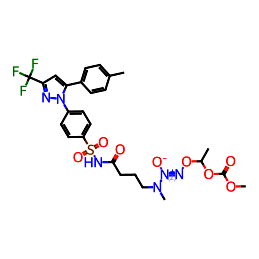 COC(=O)OC(C)O/N=[N+](\[O-])N(C)CCCC(=O)NS(=O)(=O)c1ccc(-n2nc(C(F)(F)F)cc2-c2ccc(C)cc2)cc1